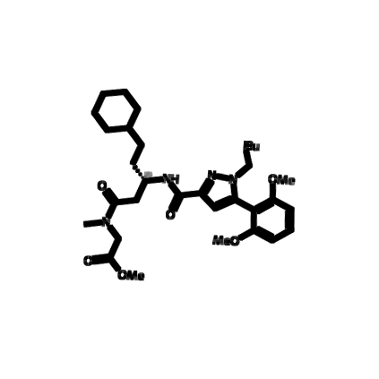 CCC(C)Cn1nc(C(=O)N[C@@H](CCC2CCCCC2)CC(=O)N(C)CC(=O)OC)cc1-c1c(OC)cccc1OC